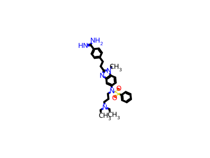 CCN(CC)CCCN(c1ccc2c(c1)nc(CCc1ccc(C(=N)N)cc1)n2C)S(=O)(=O)c1ccccc1